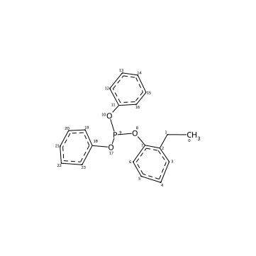 CCc1ccccc1OP(Oc1ccccc1)Oc1ccccc1